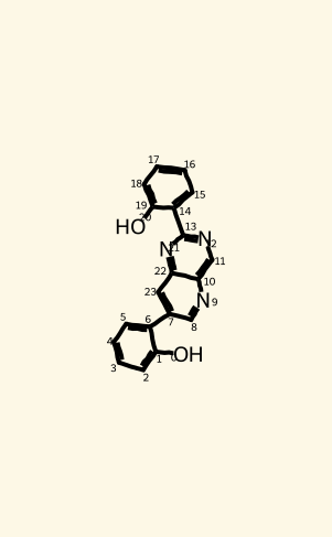 Oc1ccccc1-c1cnc2cnc(-c3ccccc3O)nc2c1